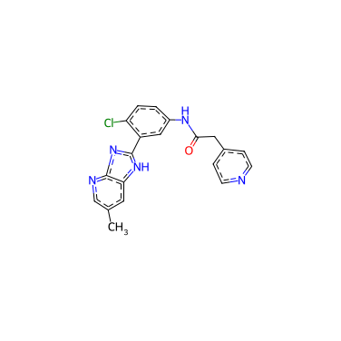 Cc1cnc2nc(-c3cc(NC(=O)Cc4ccncc4)ccc3Cl)[nH]c2c1